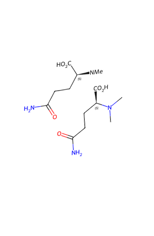 CN(C)[C@@H](CCC(N)=O)C(=O)O.CN[C@@H](CCC(N)=O)C(=O)O